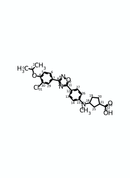 CC(C)Oc1ccc(-c2noc(-c3ccc(N(C)C4CCC(C(=O)O)C4)cc3)n2)cc1Cl